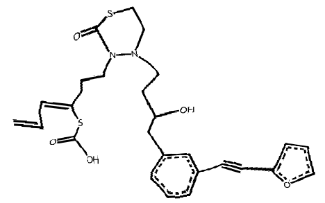 C=C/C=C(/CCN1C(=O)SCCN1CCC(O)Cc1cccc(C#Cc2ccco2)c1)SC(=O)O